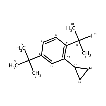 CC(C)(C)c1ccc(C(C)(C)I)c(C2CC2)c1